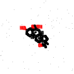 CC(=O)[C@@]1(C)CC[C@H]2[C@@H]3C[C@@](C)(O)[C@@]4(O)C[C@@H](O)CC[C@]4(C)[C@H]3CC[C@@]21C